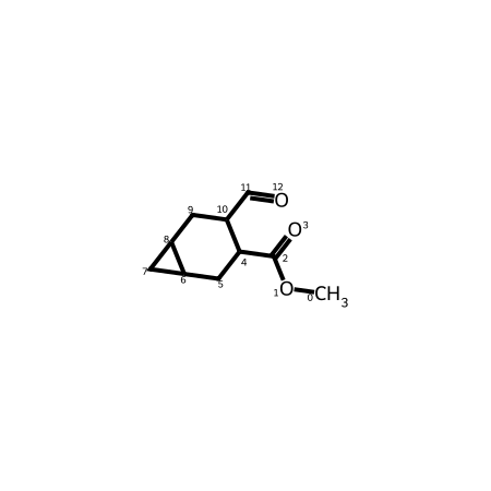 COC(=O)C1CC2CC2CC1C=O